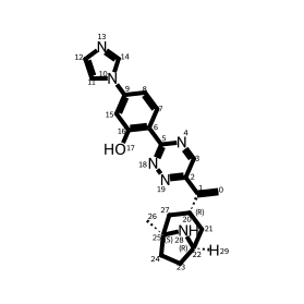 C=C(c1cnc(-c2ccc(-n3ccnc3)cc2O)nn1)[C@@H]1C[C@H]2CC[C@@](C)(C1)N2